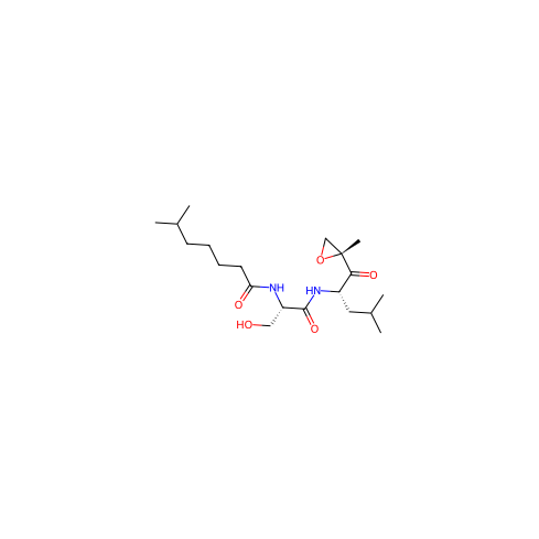 CC(C)CCCCC(=O)N[C@@H](CO)C(=O)N[C@@H](CC(C)C)C(=O)[C@@]1(C)CO1